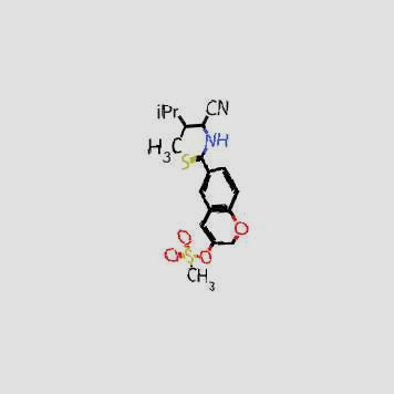 CC(C)C(C)C(C#N)NC(=S)c1ccc2c(c1)C=C(OS(C)(=O)=O)CO2